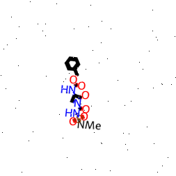 CNS(=O)(=O)NC(=O)N1CC(NC(=O)OCc2ccccc2)C1=O